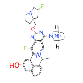 CC(C)c1cccc2cc(O)cc(-c3ncc4c(N5C[C@H]6CC[C@@H](C5)N6)nc(OCC56CCCN5CC(F)C6)nc4c3F)c12